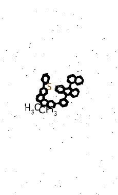 CC1(C)c2ccc(-c3cccc(-c4c5c(c(C6=CC=CC7C=CC=CC67)c6ccccc46)=CCCC=5)c3)cc2-c2c1ccc1cc3c(cc21)sc1ccccc13